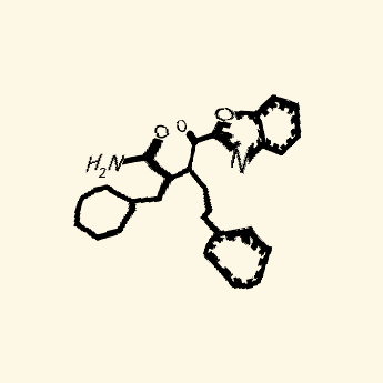 NC(=O)C(CC1CCCCC1)C(CCc1ccccc1)C(=O)c1nc2ccccc2o1